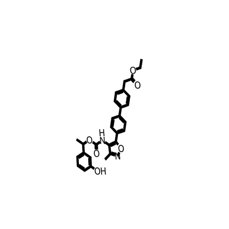 CCOC(=O)Cc1ccc(-c2ccc(-c3onc(C)c3NC(=O)OC(C)c3cccc(O)c3)cc2)cc1